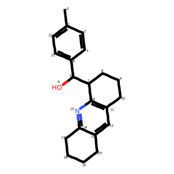 Cc1ccc(C(O)C2CCCc3cc4c(nc32)CCCC4)cc1